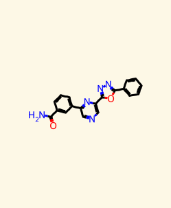 NC(=O)c1cccc(-c2cncc(-c3nnc(-c4ccccc4)o3)n2)c1